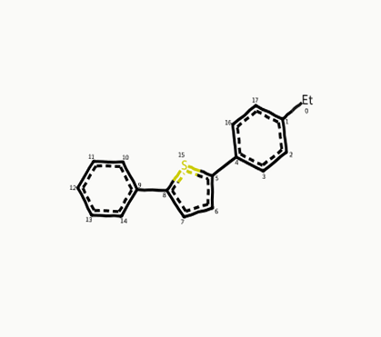 CCc1ccc(-c2ccc(-c3ccccc3)s2)cc1